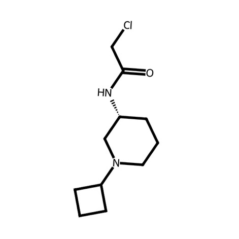 O=C(CCl)N[C@@H]1CCCN(C2CCC2)C1